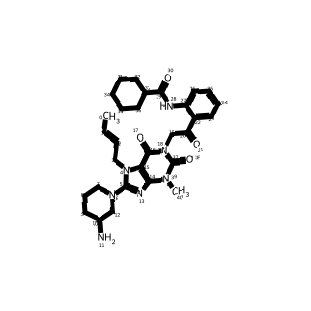 C/C=C/Cn1c(N2CCCC(N)C2)nc2c1c(=O)n(CC(=O)c1ccccc1NC(=O)C1CCCCC1)c(=O)n2C